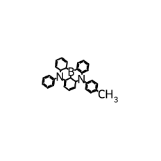 Cc1ccc(N2c3ccccc3B3C4C=CC=CC4N(c4ccccc4)C4=CC=CC2C34)cc1